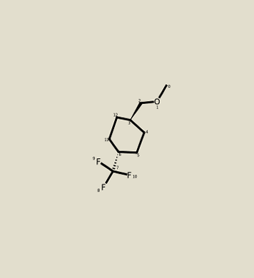 COC[C@H]1CC[C@H](C(F)(F)F)CC1